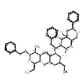 CCC1O[C@@H](OCc2ccccc2)C(C)[C@@H](C)[C@@H]1O[C@@H]1OC(CC)[C@@H](O[C@@H]2OC3COC(c4ccccc4)O[C@H]3[C@H](O)C2OCc2ccccc2)[C@H](C)C1C